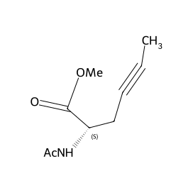 CC#CC[C@H](NC(C)=O)C(=O)OC